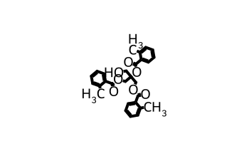 Cc1ccccc1C(=O)OCC(CO)(COC(=O)c1ccccc1C)OC(=O)c1ccccc1C